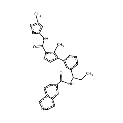 CCC(NC(=O)c1ccc2cnccc2c1)c1cccc(-c2csc(C(=O)Nc3cnn(C)c3)c2C)c1